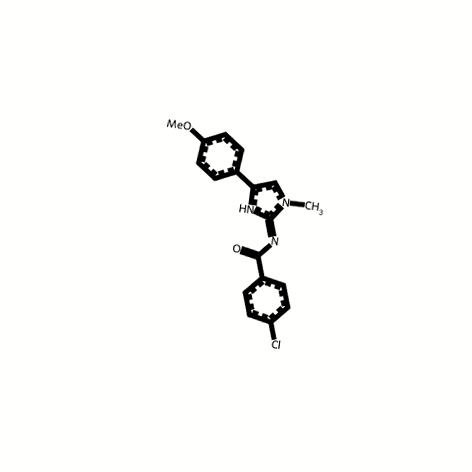 COc1ccc(-c2cn(C)/c(=N/C(=O)c3ccc(Cl)cc3)[nH]2)cc1